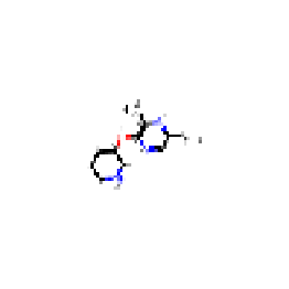 Cc1cnc(OC2CCCNC2)c(C)n1